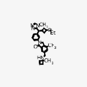 CCOC1CC(C(c2cccc(N3Cc4c(cc(CNC5(C)CCC5)cc4C(F)(F)F)C3=O)c2)c2nncn2C)C1